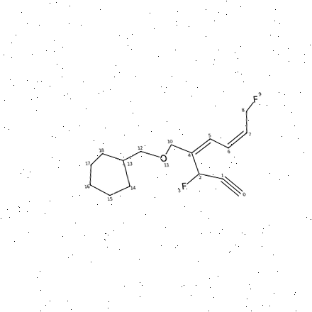 C#CC(F)/C(=C\C=C/CF)COCC1CCCCC1